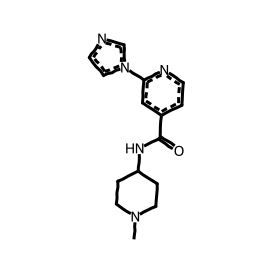 CN1CCC(NC(=O)c2ccnc(-n3ccnc3)c2)CC1